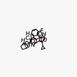 Cc1cc(C(=O)O)cnc1N1C2CC[C@H]1CC(OCc1c(-c3c(F)cccc3F)noc1C1CC1)C2